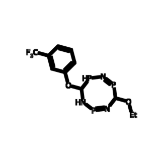 CCOC1/N=P\NC(Oc2cccc(C(F)(F)F)c2)P/N=P\1